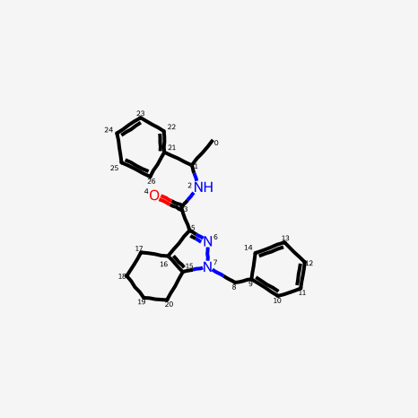 CC(NC(=O)c1nn(Cc2ccccc2)c2c1CCCC2)c1ccccc1